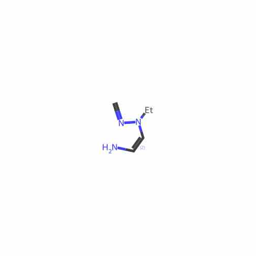 C=NN(/C=C\N)CC